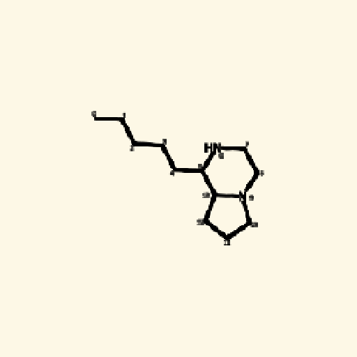 CCCCCC1NCCN2CCCC12